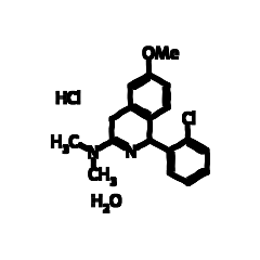 COc1ccc2c(c1)CC(N(C)C)=NC2c1ccccc1Cl.Cl.O